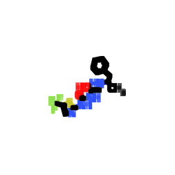 CC(Cc1ccccc1)N/C=C(\O)NC(=O)Nc1ncc(C(F)(F)F)s1